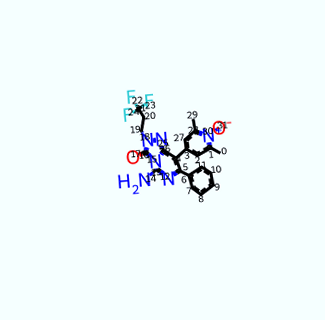 Cc1cc(-c2c(-c3ccccc3)nc(N)n3c(=O)n(CCC(F)(F)F)nc23)cc(C)[n+]1[O-]